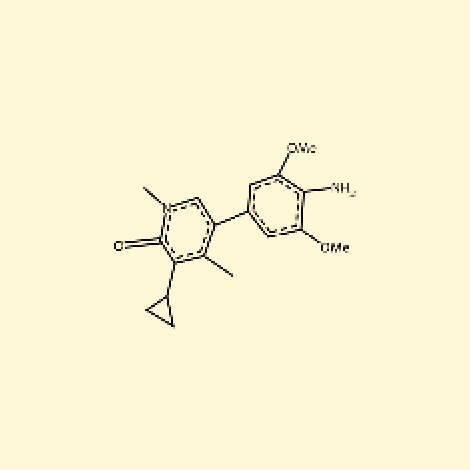 COc1cc(-c2cn(C)c(=O)c(C3CC3)c2C)cc(OC)c1N